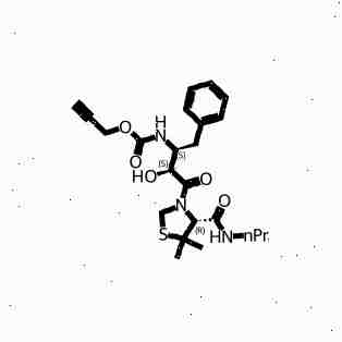 C#CCOC(=O)N[C@@H](Cc1ccccc1)[C@H](O)C(=O)N1CSC(C)(C)[C@H]1C(=O)NCCC